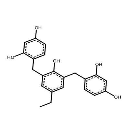 CCc1cc(Cc2ccc(O)cc2O)c(O)c(Cc2ccc(O)cc2O)c1